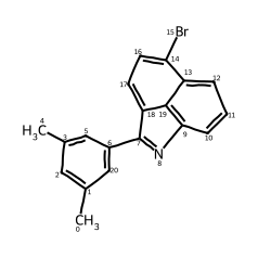 Cc1cc(C)cc(C2=Nc3cccc4c(Br)ccc2c34)c1